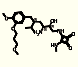 CNc1c(NC[C@H](O)[C@@H](N)C[C@H](Cc2ccc(OC)c(OCCCOC)c2)C(C)C)c(=O)c1=O